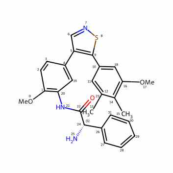 COc1ccc(-c2cnsc2-c2cc(C)c(C)c(OC)c2)cc1NC(=O)[C@@H](N)c1ccccc1